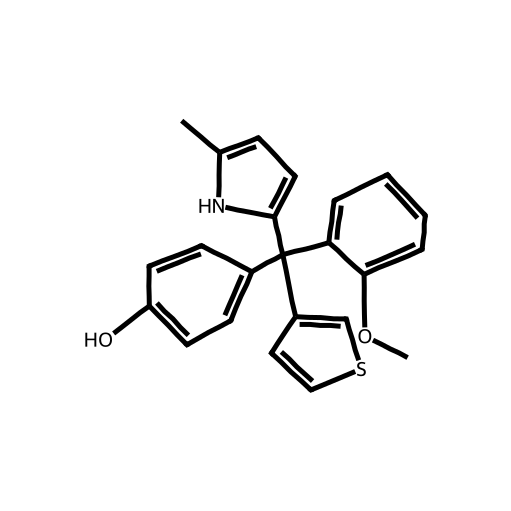 COc1ccccc1C(c1ccc(O)cc1)(c1ccsc1)c1ccc(C)[nH]1